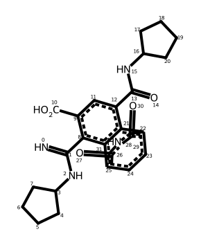 N=C(NC1CCCC1)c1c(C(=O)O)cc(C(=O)NC2CCCC2)c2c3ccc(c(=O)[nH]c3=O)c12